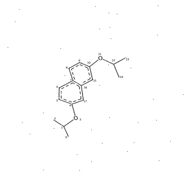 CC(C)Oc1ccc2ccc(OC(C)C)cc2c1